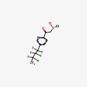 CC[S+]([O-])CC(=O)c1ccc(C(F)(F)C(F)(F)C(F)(F)C(F)(F)F)cn1